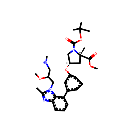 CNCC(Cn1c(C)nc2cccc(-c3cccc(O[C@@H]4CN(C(=O)OC(C)(C)C)[C@](C)(C(=O)OC)C4)c3)c21)OC